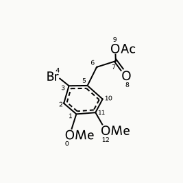 COc1cc(Br)c(CC(=O)OC(C)=O)cc1OC